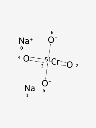 [Na+].[Na+].[O]=[51Cr](=[O])([O-])[O-]